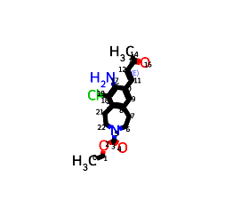 CCOC(=O)N1CCc2cc(/C=C/C(C)=O)c(N)c(Cl)c2CC1